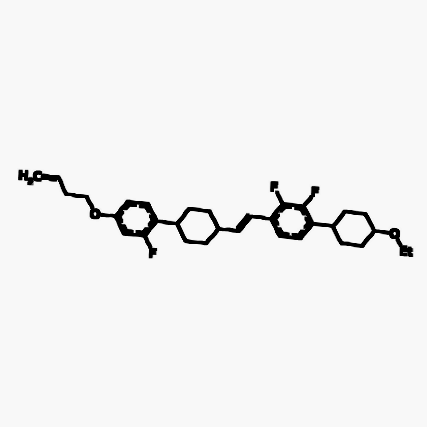 C=CCCOc1ccc(C2CCC(/C=C/c3ccc(C4CCC(OCC)CC4)c(F)c3F)CC2)c(F)c1